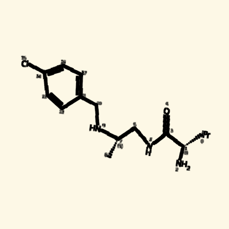 CC(C)[C@H](N)C(=O)NC[C@H](C)NCc1ccc(Cl)cc1